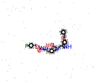 O=C(COCc1ccc(F)cc1)NCCCc1ccc(CN(CCO)CCc2c[nH]c3ccc(OCc4ccccc4)cc23)cc1